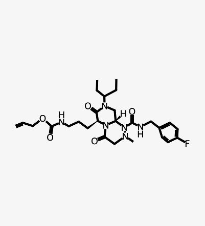 C=CCOC(=O)NCCC[C@H]1C(=O)N(C(CC)CC)C[C@H]2N1C(=O)CN(C)N2C(=O)NCc1ccc(F)cc1